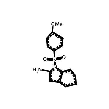 COc1ccc(S(=O)(=O)n2c(N)cc3ccccc32)cc1